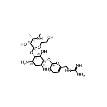 CN[C@@H](C)[C@@H](O)[C@H](OCCO)O[C@@H]1[C@@H](O)[C@H](O[C@@H]2CCC=C(CNC(=N)N)O2)[C@@H](N)C[C@H]1N